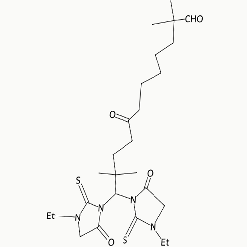 CCN1CC(=O)N(C(N2C(=O)CN(CC)C2=S)C(C)(C)CCC(=O)CCCCCC(C)(C)C=O)C1=S